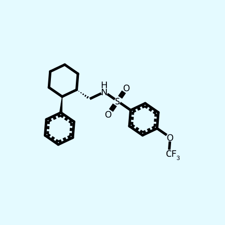 O=S(=O)(NC[C@H]1CCCC[C@@H]1c1ccccc1)c1ccc(OC(F)(F)F)cc1